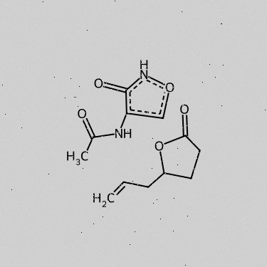 C=CCC1CCC(=O)O1.CC(=O)Nc1co[nH]c1=O